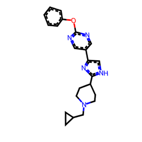 c1ccc(Oc2ncc(-c3c[nH]c(C4CCN(CC5CC5)CC4)n3)cn2)cc1